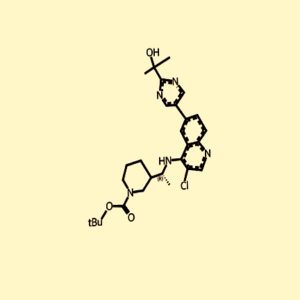 C[C@@H](Nc1c(Cl)cnc2ccc(-c3cnc(C(C)(C)O)nc3)cc12)C1CCCN(C(=O)OC(C)(C)C)C1